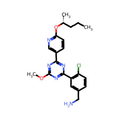 CCC[C@@H](C)Oc1ccc(-c2nc(OC)nc(-c3cc(CN)ccc3Cl)n2)cn1